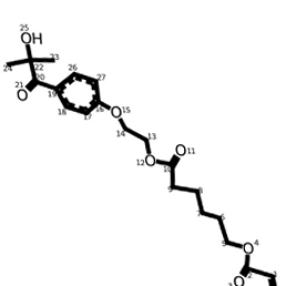 C=CC(=O)OCCCCCC(=O)OCCOc1ccc(C(=O)C(C)(C)O)cc1